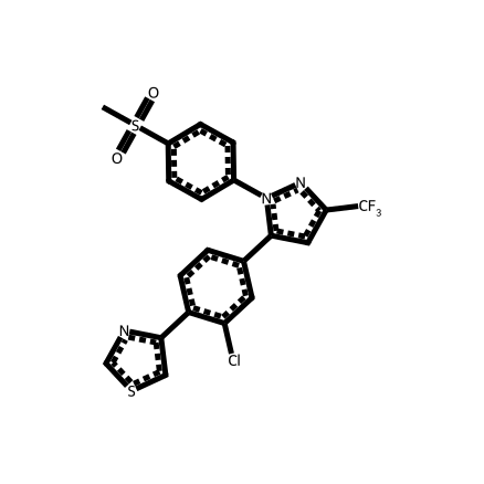 CS(=O)(=O)c1ccc(-n2nc(C(F)(F)F)cc2-c2ccc(-c3cscn3)c(Cl)c2)cc1